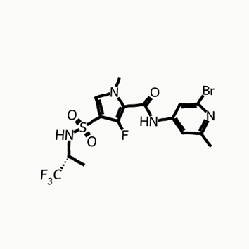 Cc1cc(NC(=O)c2c(F)c(S(=O)(=O)N[C@H](C)C(F)(F)F)cn2C)cc(Br)n1